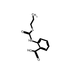 CCCSC(=O)Nc1ccccc1C(=O)O